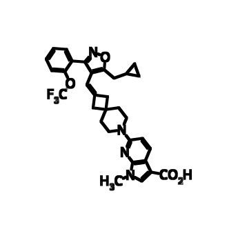 Cn1cc(C(=O)O)c2ccc(N3CCC4(CC3)CC(=Cc3c(-c5ccccc5OC(F)(F)F)noc3CC3CC3)C4)nc21